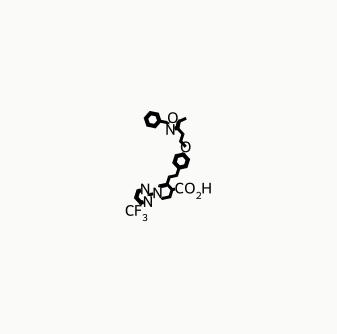 Cc1oc(-c2ccccc2)nc1CCOc1ccc(CCC2=CN(c3nccc(C(F)(F)F)n3)CCC2C(=O)O)cc1